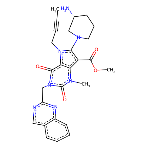 CC#CCn1c(N2CCC[C@@H](N)C2)c(C(=O)OC)c2c1c(=O)n(Cc1ncc3ccccc3n1)c(=O)n2C